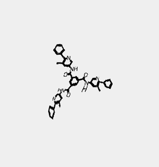 Cc1cc(NC(=O)c2cc(C(=O)Nc3cnc(-c4ccccc4)c(C)c3)cc(C(=O)Nc3cnc(-c4ccccc4)c(C)c3)c2)cnc1-c1ccccc1